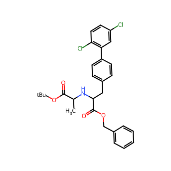 CC(NC(Cc1ccc(-c2cc(Cl)ccc2Cl)cc1)C(=O)OCc1ccccc1)C(=O)OC(C)(C)C